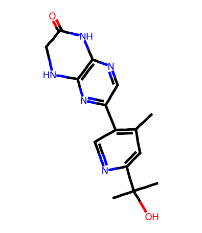 Cc1cc(C(C)(C)O)ncc1-c1cnc2c(n1)NCC(=O)N2